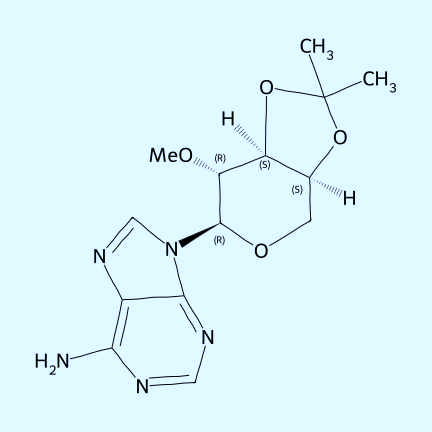 CO[C@@H]1[C@H]2OC(C)(C)O[C@H]2CO[C@H]1n1cnc2c(N)ncnc21